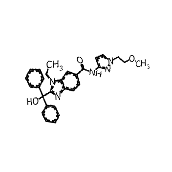 CCn1c(C(O)(c2ccccc2)c2ccccc2)nc2ccc(C(=O)Nc3ccn(CCOC)n3)cc21